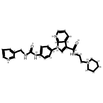 O=C(NCc1cccnc1)Nc1ccc(-n2cc(C(=O)NCCN3CCCCC3)c3cccnc32)cc1